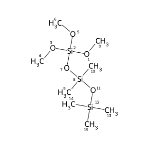 CO[Si](OC)(OC)O[Si](C)(C)O[Si](C)(C)C